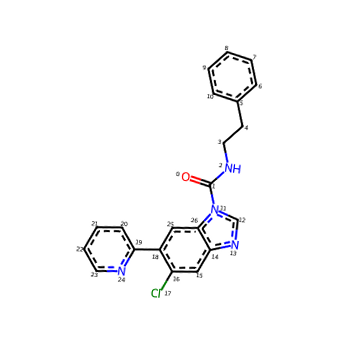 O=C(NCCc1ccccc1)n1cnc2cc(Cl)c(-c3ccccn3)cc21